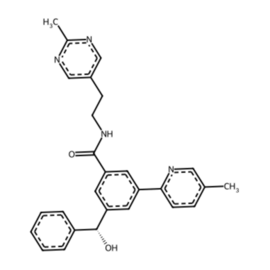 Cc1ccc(-c2cc(C(=O)NCCc3cnc(C)nc3)cc([C@H](O)c3ccccc3)c2)nc1